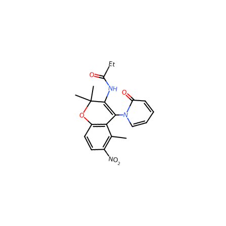 CCC(=O)NC1=C(n2ccccc2=O)c2c(ccc([N+](=O)[O-])c2C)OC1(C)C